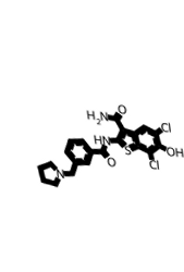 NC(=O)c1c(NC(=O)c2cccc(CN3CCCC3)c2)sc2c(Cl)c(O)c(Cl)cc12